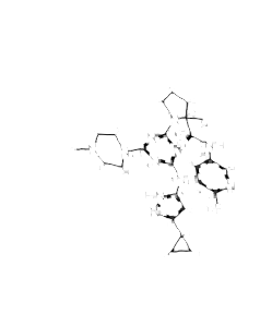 CN1CCN(c2nc(Nc3cc(C4CC4)n[nH]3)nc(N3CCCC3(C)C(=O)Nc3ccc(F)nc3)n2)CC1